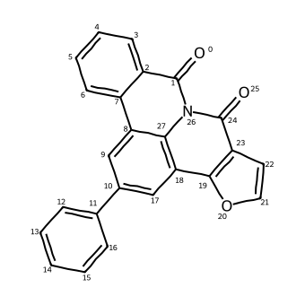 O=c1c2ccccc2c2cc(-c3ccccc3)cc3c4occc4c(=O)n1c23